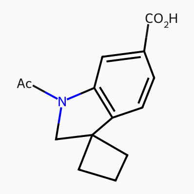 CC(=O)N1CC2(CCC2)c2ccc(C(=O)O)cc21